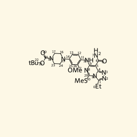 CCc1nnc2c(C(N)=O)c(Nc3ccc(N4CCN(C(=O)OC(C)(C)C)CC4)cc3OC)nc(SC)n12